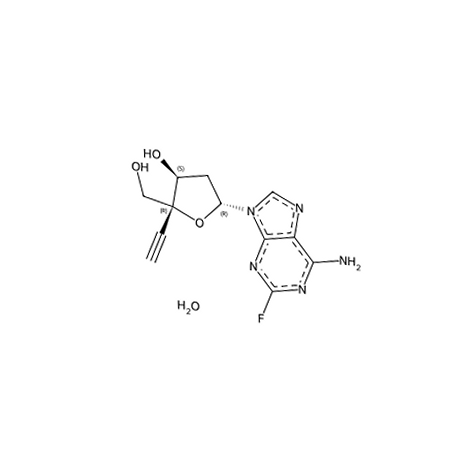 C#C[C@]1(CO)O[C@@H](n2cnc3c(N)nc(F)nc32)C[C@@H]1O.O